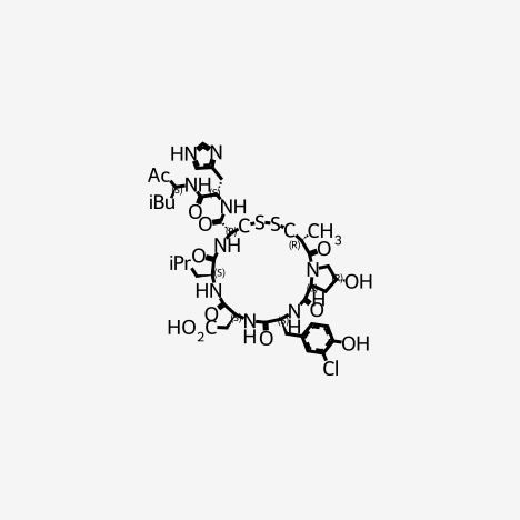 CCC(C)[C@H](NC(=O)[C@H](Cc1c[nH]cn1)NC(=O)[C@@H]1CSSC[C@H](C)C(=O)N2C[C@H](O)C[C@H]2C(=O)N[C@@H](Cc2ccc(O)c(Cl)c2)C(=O)N[C@@H](CC(=O)O)C(=O)N[C@@H](CC(C)C)C(=O)N1)C(C)=O